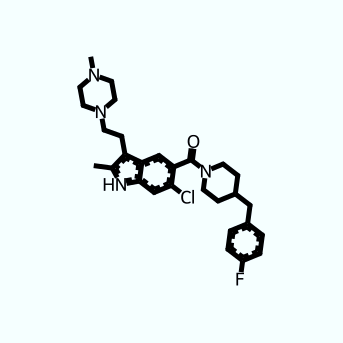 Cc1[nH]c2cc(Cl)c(C(=O)N3CCC(Cc4ccc(F)cc4)CC3)cc2c1CCN1CCN(C)CC1